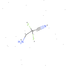 N#CC(F)(F)CN